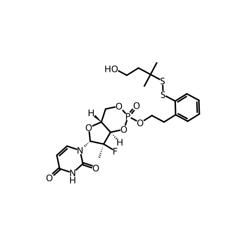 CC(C)(CCO)SSc1ccccc1CCOP1(=O)OC[C@H]2O[C@@H](n3ccc(=O)[nH]c3=O)[C@](C)(F)[C@@H]2O1